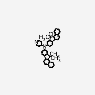 CC1(C)c2cc(N(c3ccncc3)c3ccc4c(c3)C(C)(C)c3c-4ccc4ccccc34)ccc2-c2ccc3ccccc3c21